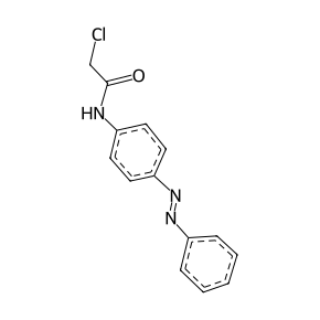 O=C(CCl)Nc1ccc(N=Nc2ccccc2)cc1